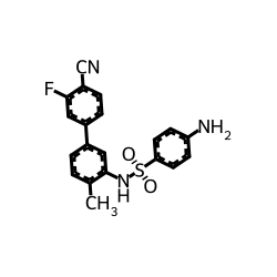 Cc1ccc(-c2ccc(C#N)c(F)c2)cc1NS(=O)(=O)c1ccc(N)cc1